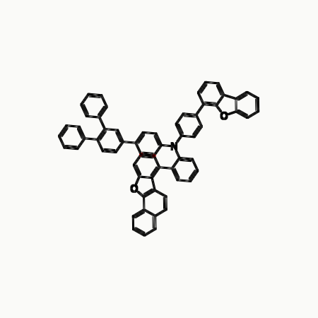 c1ccc(-c2ccc(-c3ccc(N(c4ccc(-c5cccc6c5oc5ccccc56)cc4)c4ccccc4-c4cccc5oc6c7ccccc7ccc6c45)cc3)cc2-c2ccccc2)cc1